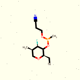 [2H]C[C@H]1OC[C@@H](C)[C@@H](F)C1OP(C)OCCC#N